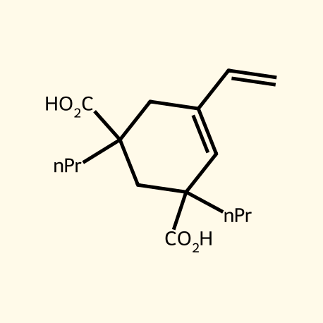 C=CC1=CC(CCC)(C(=O)O)CC(CCC)(C(=O)O)C1